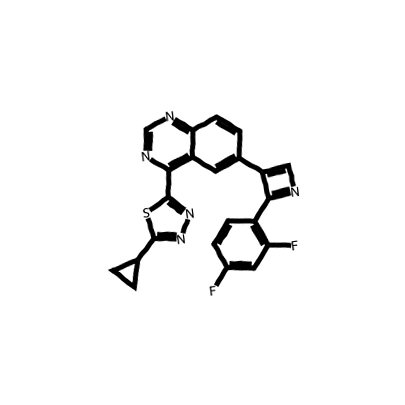 Fc1ccc(C2=NC=C2c2ccc3ncnc(-c4nnc(C5CC5)s4)c3c2)c(F)c1